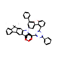 CC1(C)c2ccccc2-c2cc3c4ccccc4n(-c4cc(-c5ccccc5)c5oc6cccc(-c7nc(-c8ccccc8)nc(-c8ccccc8)n7)c6c5c4)c3cc21